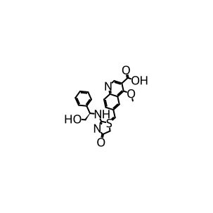 COc1c(C(=O)O)cnc2ccc(/C=S3/CC(=O)N=C3N[C@@H](CO)c3ccccc3)cc12